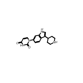 O=c1ccn(-c2ccc3c(C4CCNCC4)c[nH]c3c2)c(=O)[nH]1